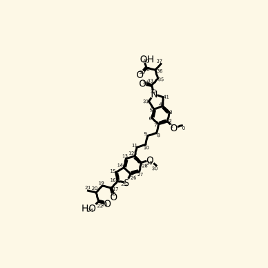 COc1cc2c(cc1CCCCc1cc3cc(C(=O)CC(C)C(=O)O)sc3cc1OC)CN(C(=O)CC(C)C(=O)O)C2